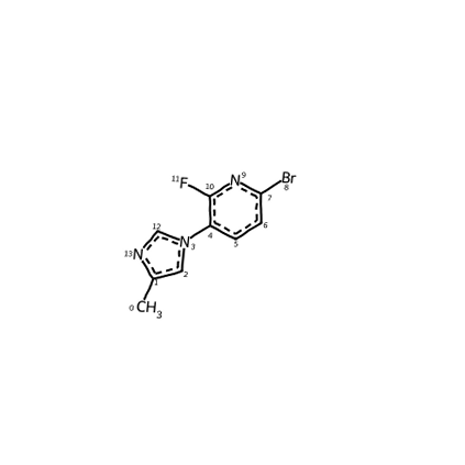 Cc1cn(-c2ccc(Br)nc2F)cn1